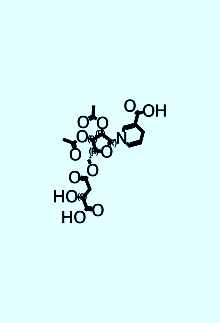 CC(=O)O[C@@H]1[C@H](OC(C)=O)[C@@H](COC(=O)C[C@H](O)C(=O)O)O[C@H]1N1C=CCC(C(=O)O)=C1